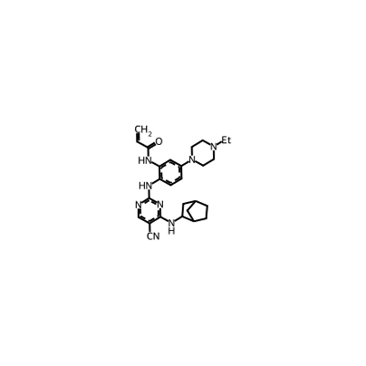 C=CC(=O)Nc1cc(N2CCN(CC)CC2)ccc1Nc1ncc(C#N)c(NC2CC3CCC2C3)n1